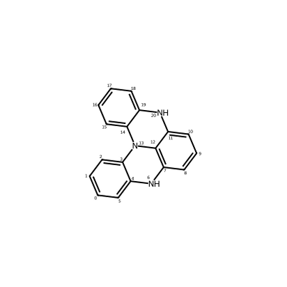 c1ccc2c(c1)Nc1cccc3c1N2c1ccccc1N3